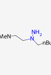 CCCCCN(N)CCNC